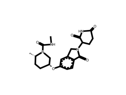 CNC(=O)N1C[C@H](Oc2ccc3c(c2)CN(C2CCC(=O)NC2=O)C3=O)CC[C@@H]1C